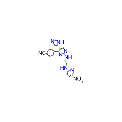 N#Cc1ccc(-c2nc(NCCNc3ccc([N+](=O)[O-])cn3)ncc2-c2cnc[nH]2)cc1